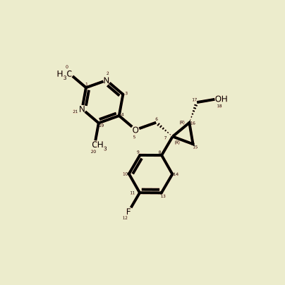 Cc1ncc(OC[C@@]2(C3C=CC(F)=CC3)C[C@H]2CO)c(C)n1